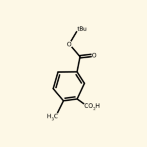 Cc1ccc(C(=O)OC(C)(C)C)cc1C(=O)O